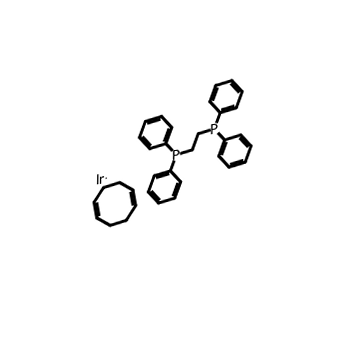 C1=C\CC/C=C\CC/1.[Ir].c1ccc(P(CCP(c2ccccc2)c2ccccc2)c2ccccc2)cc1